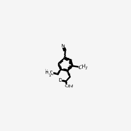 CCc1cc(C#N)cc(C)c1CC(=O)O